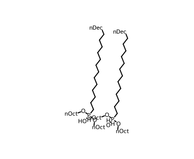 CCCCCCCCCCCCCCCCCCCCCCC[PH](O)(OCCCCCCCC)OCCCCCCCC.CCCCCCCCCCCCCCCCCCCCCCC[PH](O)(OCCCCCCCC)OCCCCCCCC